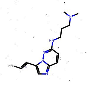 CCCC/C=C/c1cnc2ccc(NCCCN(C)C)nn12